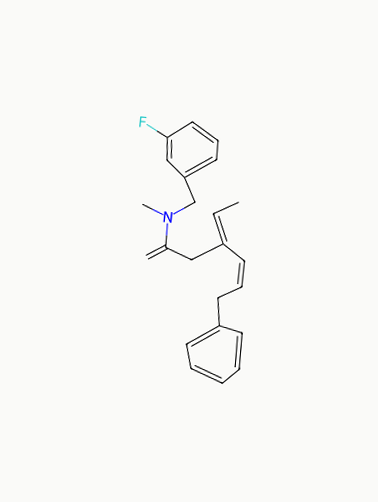 C=C(CC(/C=C\Cc1ccccc1)=C/C)N(C)Cc1cccc(F)c1